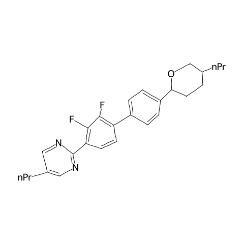 CCCc1cnc(-c2ccc(-c3ccc(C4CCC(CCC)CO4)cc3)c(F)c2F)nc1